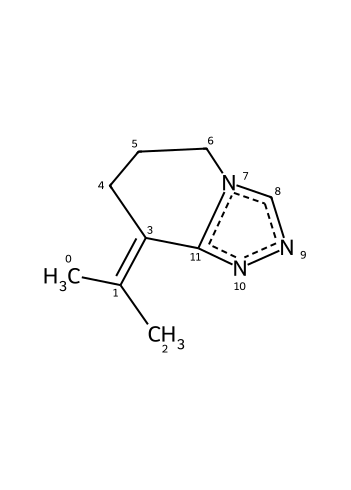 CC(C)=C1CCCn2cnnc21